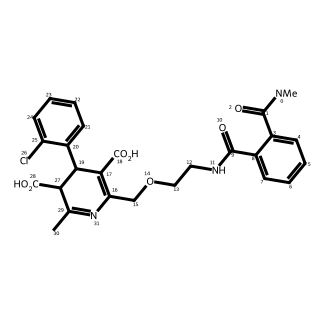 CNC(=O)c1ccccc1C(=O)NCCOCC1=C(C(=O)O)C(c2ccccc2Cl)C(C(=O)O)C(C)=N1